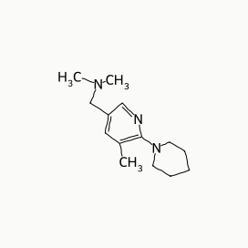 Cc1cc(CN(C)C)cnc1N1CCCCC1